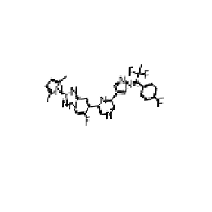 Cc1ccc(C)n1-c1nc2cc(-c3cncc(-c4cnn([C@H](c5ccc(F)cc5)C(C)(F)F)c4)n3)c(F)cn2n1